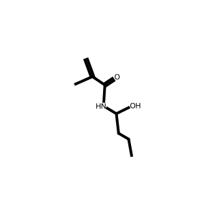 C=C(C)C(=O)NC(O)CCC